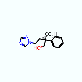 O=C(O)[C@@](CO)(CCn1cncn1)c1ccccc1